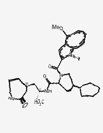 COc1cccc2[nH]c(C(=O)N3CC(C4CCCC4)CC3C(=O)N[C@@H](C[C@@H]3CCCNC3=O)C(=O)O)cc12